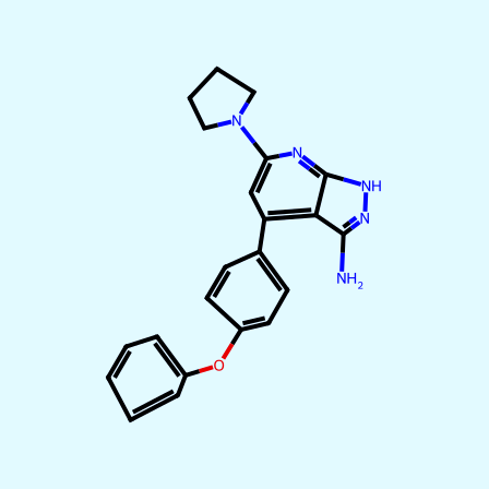 Nc1n[nH]c2nc(N3CCCC3)cc(-c3ccc(Oc4ccccc4)cc3)c12